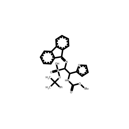 CC(C)C(C)(C)OP(=O)(O)C(N=C1c2ccccc2-c2ccccc21)C(NC(=O)OC(C)(C)C)c1ccco1